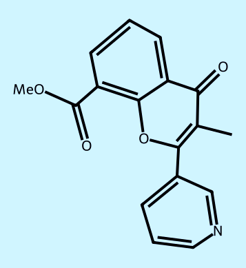 COC(=O)c1cccc2c(=O)c(C)c(-c3cccnc3)oc12